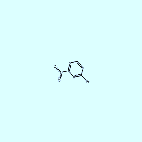 O=[SH](=O)c1nccc(Br)n1